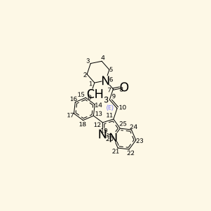 CC1CCCCN1C(=O)/C=C/c1c(-c2ccccc2)nn2ccccc12